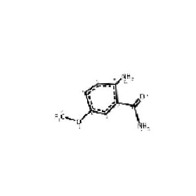 NC(=O)c1cc(OC(F)(F)F)ccc1N